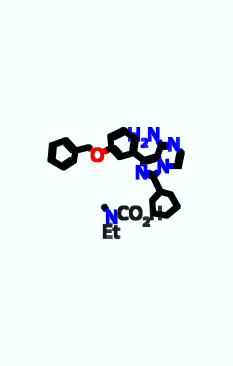 CCN(C)C(=O)O.Nc1nccn2c(C3CCCCC3)nc(-c3cccc(OCc4ccccc4)c3)c12